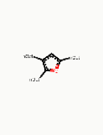 CCCCCCCCc1cc(CCCCCCCC)c(CCCCCCCC)o1